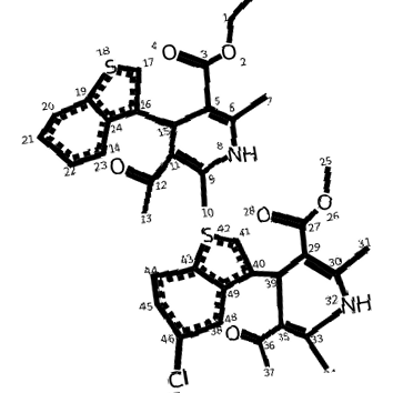 CCOC(=O)C1=C(C)NC(C)=C(C(C)=O)C1c1csc2ccccc12.COC(=O)C1=C(C)NC(C)=C(C(C)=O)C1c1csc2ccc(Cl)cc12